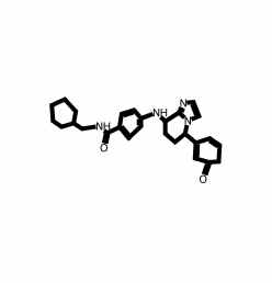 O=C1C=C(C2CCC(Nc3ccc(C(=O)NCC4CCCCC4)cc3)c3nccn32)C=CC1